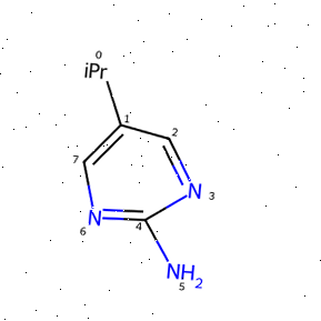 CC(C)c1cnc(N)nc1